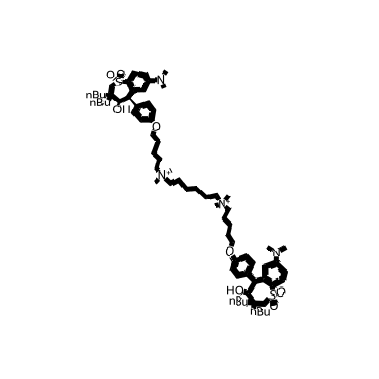 CCCCC1(CCCC)CS(=O)(=O)c2ccc(N(C)C)cc2C(c2ccc(OCCCCC[N+](C)(C)CCCCCC[N+](C)(C)CCCCCOc3ccc([C@@H]4c5cc(N(C)C)ccc5S(=O)(=O)CC(CCCC)(CCCC)[C@@H]4O)cc3)cc2)C1O